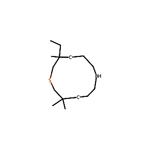 CCC1(C)CCCBCCCC(C)(C)CSC1